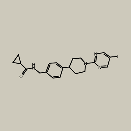 O=C(NCc1ccc(C2CCN(c3ncc(I)cn3)CC2)cc1)C1CC1